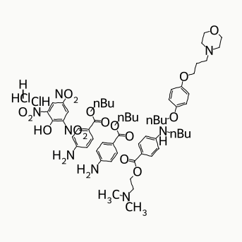 CCCCNc1ccc(C(=O)OCCN(C)C)cc1.CCCCOC(=O)c1ccc(N)cc1.CCCCOC(=O)c1ccc(N)cc1.CCCCOc1ccc(OCCCN2CCOCC2)cc1.Cl.Cl.I.O=[N+]([O-])c1cc([N+](=O)[O-])c(O)c([N+](=O)[O-])c1